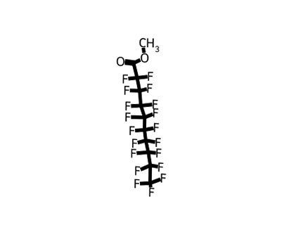 COC(=O)C(F)(F)C(F)(F)C(F)(F)C(F)(F)C(F)(F)C(F)(F)C(F)(F)C(F)(F)C(F)(F)F